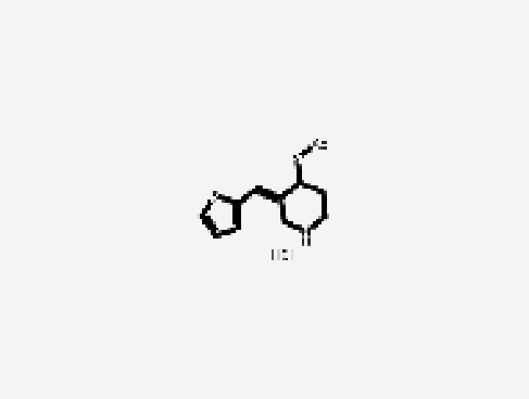 CC(=O)SC1CCNCC1=Cc1cccs1.Cl